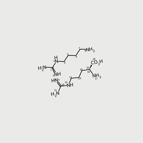 N=C(N)NCCCCN.N=C(N)NCCC[C@H](N)C(=O)O